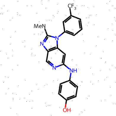 CNc1nc2cnc(Nc3ccc(O)cc3)cc2n1-c1cccc(C(F)(F)F)c1